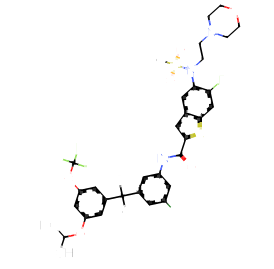 CC(C)Oc1cc(OC(F)(F)F)cc(C(C)(C)c2cc(Cl)cc(NC(=O)c3cc4cc(N(CCN5CCOCC5)S(C)(=O)=O)c(F)cc4s3)c2)c1